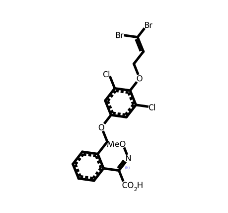 CO/N=C(/C(=O)O)c1ccccc1COc1cc(Cl)c(OCC=C(Br)Br)c(Cl)c1